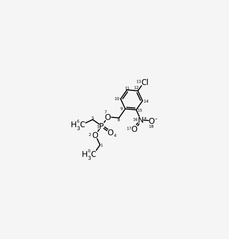 CCOP(=O)(CC)OCc1ccc(Cl)cc1[N+](=O)[O-]